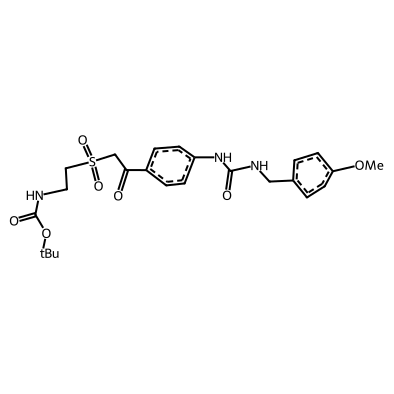 COc1ccc(CNC(=O)Nc2ccc(C(=O)CS(=O)(=O)CCNC(=O)OC(C)(C)C)cc2)cc1